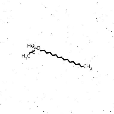 CCCCCCCCCCCCCCCCOP(O)OCC